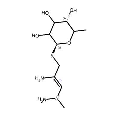 CC1O[C@@H](SC/C(N)=C/N(C)N)C(O)C(O)[C@@H]1O